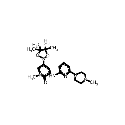 CN1CCN(c2cccc(Nc3cc(B4OC(C)(C)C(C)(C)O4)cn(C)c3=O)n2)CC1